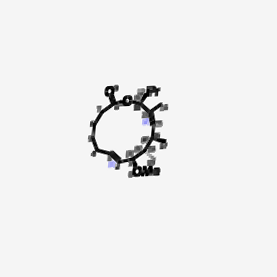 CO[C@H]1/C=C/CCCCC(=O)O[C@@H](C(C)C)/C(C)=C\[C@@H](C)[C@@H]1C